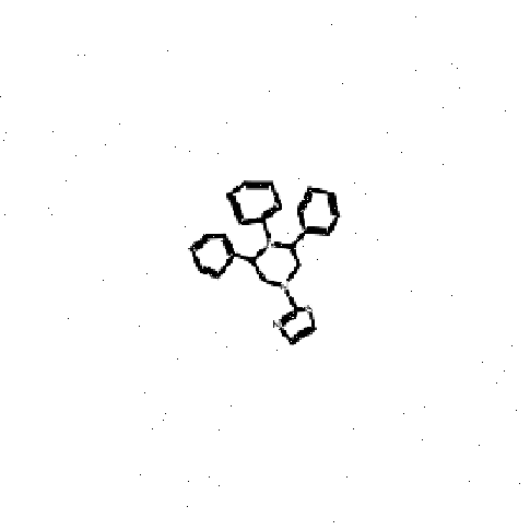 [c]1csc(N2CC(c3ccccc3)N(c3ccccc3)C(c3ccccc3)C2)n1